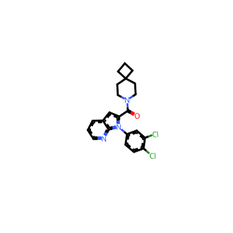 O=C(c1cc2cccnc2n1-c1ccc(Cl)c(Cl)c1)N1CCC2(CCC2)CC1